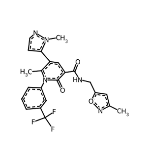 Cc1cc(CNC(=O)c2cc(-c3ccnn3C)c(C)n(-c3cccc(C(F)(F)F)c3)c2=O)on1